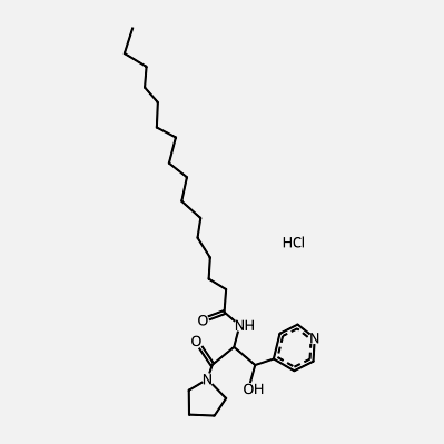 CCCCCCCCCCCCCCCC(=O)NC(C(=O)N1CCCC1)C(O)c1ccncc1.Cl